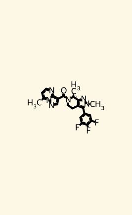 Cc1ccnc2c(C(=O)N3CCc4c(nn(C)c4-c4cc(F)c(F)c(F)c4)[C@@H]3C)cnn12